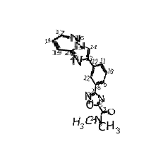 CN(C)C(=O)c1nc(-c2cccc(-c3cn4ncccc4n3)c2)no1